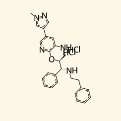 Cl.Cl.Cn1cc(-c2cnc3c(c2)NC[C@@H]([C@H](NCCc2ccccc2)c2ccccc2)O3)cn1